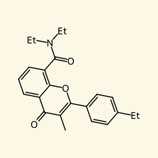 CCc1ccc(-c2oc3c(C(=O)N(CC)CC)cccc3c(=O)c2C)cc1